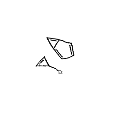 CCC1C=C1.c1cc2cc-2c1